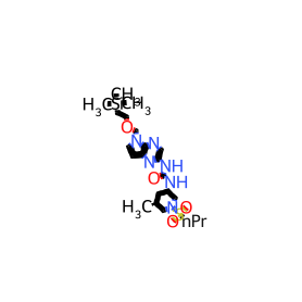 CCCS(=O)(=O)N1C[C@@H](C)C[C@H](NC(=O)Nc2cnc3c(ccn3COCC[Si](C)(C)C)n2)C1